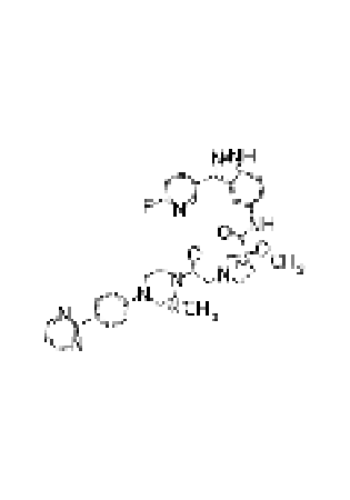 CO[C@@]1(C(=O)Nc2ccc3[nH]nc(-c4ccc(F)nc4)c3c2)CCN(CC(=O)N2CCN(c3ccc(-c4ncccn4)cc3)C[C@H]2C)C1